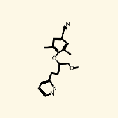 COCC(CCc1cccnn1)Oc1c(C)cc(C#N)cc1C